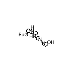 CC(C)COc1cccc2[nH]c(C(=O)NC3CCN(CCN4CCC[C@H](O)C4)CC3)cc12